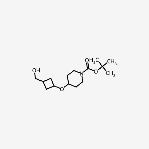 CC(C)(C)OC(=O)N1CCC(OC2CC(CO)C2)CC1